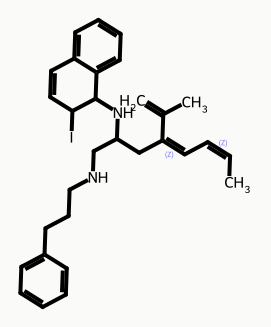 C=C(C)/C(=C\C=C/C)CC(CNCCCc1ccccc1)NC1c2ccccc2C=CC1I